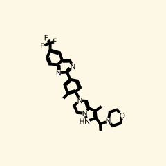 CC1=C(C(C)N2CCOCC2)NN2CCN(c3ccc(-c4ncc5cc(C(F)(F)F)ccc5n4)cc3C)C=C12